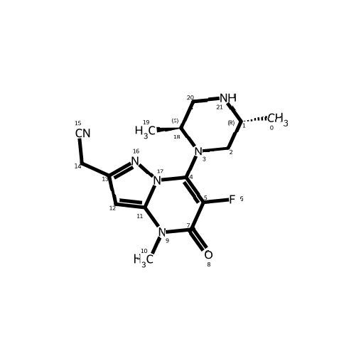 C[C@@H]1CN(c2c(F)c(=O)n(C)c3cc(CC#N)nn23)[C@@H](C)CN1